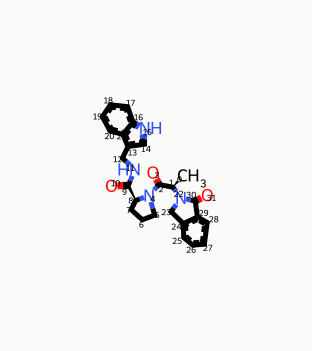 C[C@@H](C(=O)N1CCC[C@H]1C(=O)NCc1c[nH]c2ccccc12)N1Cc2ccccc2C1=O